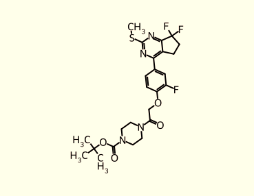 CSc1nc(-c2ccc(OCC(=O)N3CCN(C(=O)OC(C)(C)C)CC3)c(F)c2)c2c(n1)C(F)(F)CC2